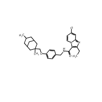 CCc1nc2cc(Cl)ccn2c1C(=O)NCc1ccc(OCC2(C)CC3CC(C)CC(C3)C2)cc1